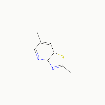 CC1=CC2SC(C)=NC2N=C1